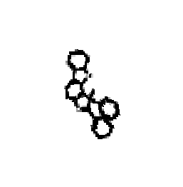 CC1(c2ccccc2)C(C2=CCCC=C2)=Nc2ccc3c(c21)NC1CC=CC=C31